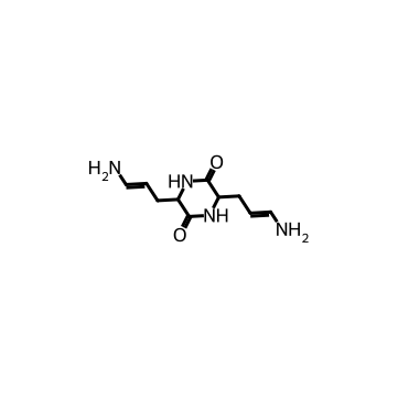 NC=CCC1NC(=O)C(CC=CN)NC1=O